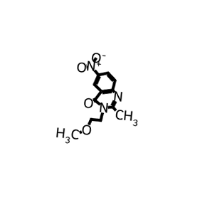 COCCn1c(C)nc2ccc([N+](=O)[O-])cc2c1=O